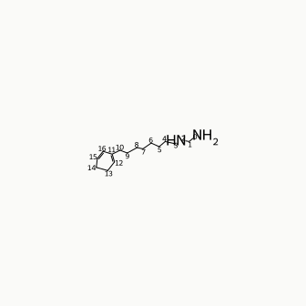 NCNCCCCCCCCC1=CCCC=C1